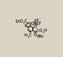 CCOC(=O)c1nc2cc(C)c([C@H](OC(C)(C)C)C(=O)O)c(OS(=O)(=O)C(F)(F)F)c2s1